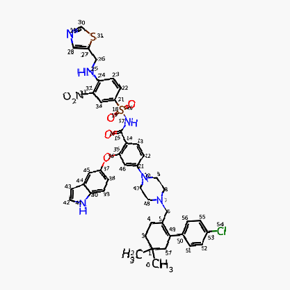 CC1(C)CCC(CN2CCN(c3ccc(C(=O)NS(=O)(=O)c4ccc(NCc5cncs5)c([N+](=O)[O-])c4)c(Oc4ccc5[nH]ccc5c4)c3)CC2)=C(c2ccc(Cl)cc2)C1